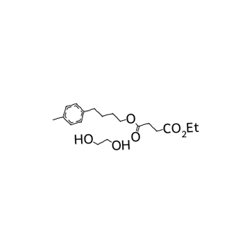 CCOC(=O)CCC(=O)OCCCCc1ccc(C)cc1.OCCO